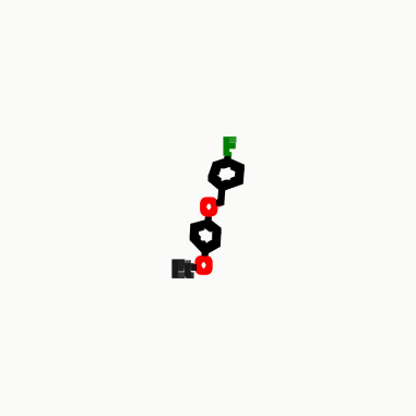 CCOc1ccc(OCc2ccc(F)cc2)cc1